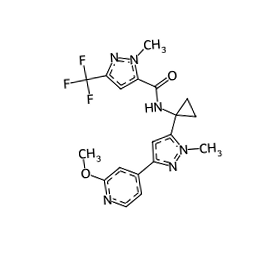 COc1cc(-c2cc(C3(NC(=O)c4cc(C(F)(F)F)nn4C)CC3)n(C)n2)ccn1